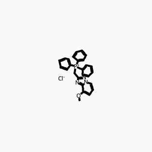 COc1cccn2nc(C[P+](c3ccccc3)(c3ccccc3)c3ccccc3)nc12.[Cl-]